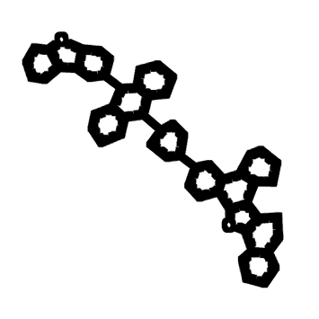 c1ccc2c(c1)ccc1c2oc2c3ccc(-c4ccc(-c5c6ccccc6c(-c6ccc7oc8ccccc8c7c6)c6ccccc56)cc4)cc3c3ccccc3c12